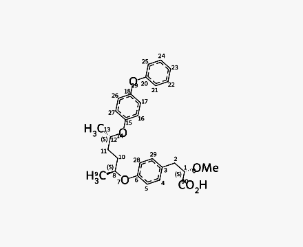 CO[C@@H](Cc1ccc(O[C@@H](C)CC[C@H](C)Oc2ccc(Oc3ccccc3)cc2)cc1)C(=O)O